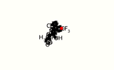 CC1(NC(=O)c2c(CO)nn3c(-c4ccc(C(F)(F)F)cc4)c(-c4ccccc4Cl)cnc23)CCS(=O)(=O)C1